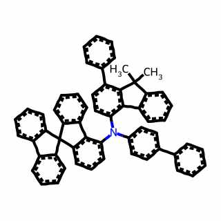 CC1(C)c2ccccc2-c2c(N(c3ccc(-c4ccccc4)cc3)c3cccc4c3-c3ccccc3C43c4ccccc4-c4ccccc43)ccc(-c3ccccc3)c21